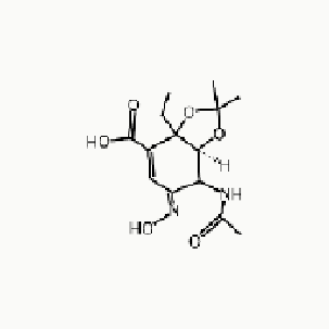 CCC12OC(C)(C)O[C@H]1C(NC(C)=O)C(=NO)C=C2C(=O)O